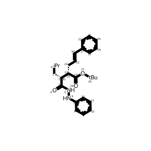 CC(C)C[C@@H](C(=O)NNc1ccccc1)[C@H](CC=Cc1ccccc1)C(=O)OC(C)(C)C